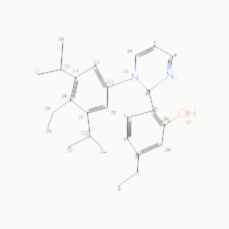 CCc1ccc(C2N=CC=CN2c2cc(C(C)C)c(CC)c(C(C)C)c2)c(O)c1